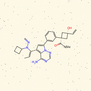 C=C[C@]1(O)C[C@](C(=O)NC)(c2cccc(-c3cc(/C(=C/C)N(N=C)C4CCC4)c4c(N)ncnn34)c2)C1